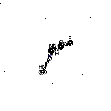 CS(=O)(=O)CCNCCCCO/N=C/c1ccc2ncnc(Nc3ccc(OCc4cccc(F)c4)c(Cl)c3)c2c1